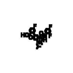 CC(C)CN(c1ccc(-c2cc(F)ccc2C(=O)O)cc1NC(=O)Nc1ccc(F)cc1F)C(C)C